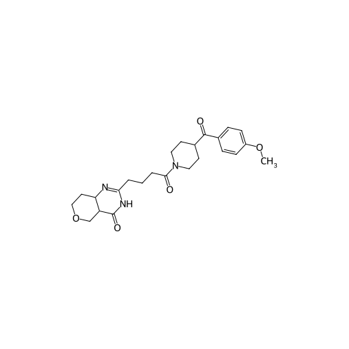 COc1ccc(C(=O)C2CCN(C(=O)CCCC3=NC4CCOCC4C(=O)N3)CC2)cc1